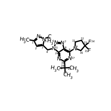 Cc1cc(Cn2nnc3c(N4CCC(F)(F)C4)nc(C(C)(C)C)nc32)n(C)n1